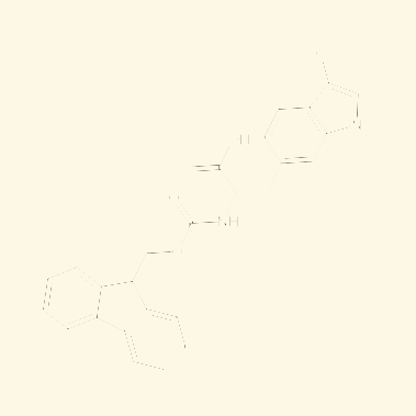 O=C(N[C@@H](Cc1ccc2c(Cl)c[nH]c2c1)C(=O)O)OCC1c2ccccc2-c2ccccc21